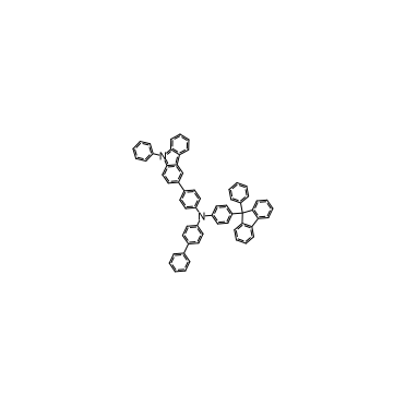 c1ccc(-c2ccc(N(c3ccc(-c4ccc5c(c4)c4ccccc4n5-c4ccccc4)cc3)c3ccc(C4(c5ccccc5)c5ccccc5-c5ccccc54)cc3)cc2)cc1